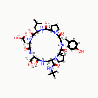 CC(C)C[C@H]1NC(=O)[C@H]2CCCN2C(=O)[C@H](Cc2ccc(O)cc2)NC(=O)[C@@H]2CCCN2C(C(=O)NC(C)(C)C)[C@H](C)NC(=O)[C@H]([C@@H](C)O)NC(=O)[C@H](CC(=O)O)NC1=O